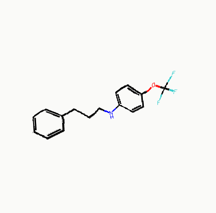 FC(F)(F)Oc1ccc(NCCCc2cc[c]cc2)cc1